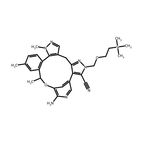 Cc1ccc2c(c1)C(C)Oc1cc(cnc1N)-c1c(nn(COCC[Si](C)(C)C)c1C#N)Cc1cnn(C)c1-2